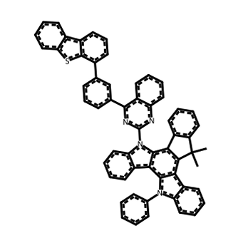 CC1(C)c2ccccc2-c2c1c1c3ccccc3n(-c3ccccc3)c1c1c3ccccc3n(-c3nc(-c4cccc(-c5cccc6c5sc5ccccc56)c4)c4ccccc4n3)c21